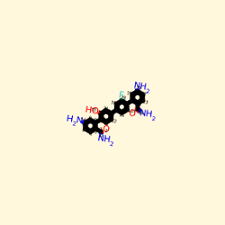 NC(=O)c1ccc(N)cc1-c1ccc(-c2ccc(-c3cc(N)ccc3C(N)=O)c(F)c2)cc1O